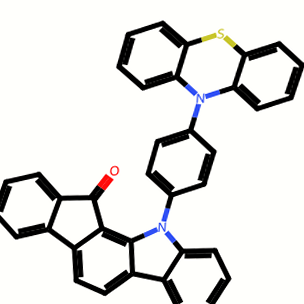 O=C1c2ccccc2-c2ccc3c4ccccc4n(-c4ccc(N5c6ccccc6Sc6ccccc65)cc4)c3c21